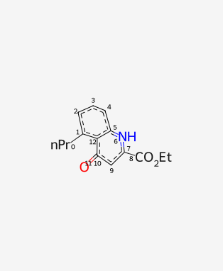 CCCc1cccc2[nH]c(C(=O)OCC)cc(=O)c12